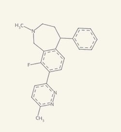 Cc1ccc(-c2ccc3c(c2F)CN(C)CCC3c2ccccc2)nn1